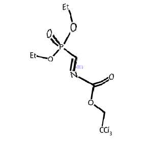 CCOP(=O)(/C=N/C(=O)OCC(Cl)(Cl)Cl)OCC